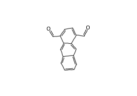 O=Cc1ccc(C=O)c2cc3ccccc3cc12